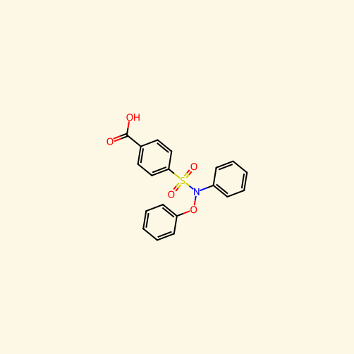 O=C(O)c1ccc(S(=O)(=O)N(Oc2ccccc2)c2ccccc2)cc1